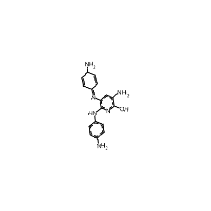 Nc1ccc(Nc2nc(O)c(N)cc2N=C2C=CC(N)C=C2)cc1